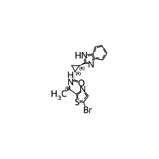 C[C@@H](NC(=O)[C@@H]1C[C@H]1c1nc2ccccc2[nH]1)c1ncc(Br)s1